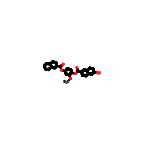 COc1cc(OC(=O)c2ccc3ccccc3c2)ccc1OC(=O)c1ccc2cc(O)ccc2c1